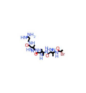 C=C(Br)C(=O)Nc1n[nH]c(C(=O)Nc2c[nH]c(C(=O)Nc3n[nH]c(C(=O)NCCC(=N)N)c3C)c2C)c1C